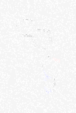 O=C(Cn1ccnc1)c1ccc2ccccc2c1